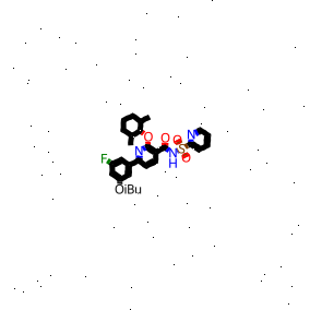 CC(C)COc1cc(F)cc(-c2ccc(C(=O)NS(=O)(=O)c3ccccn3)c(OC3C(C)CCCC3C)n2)c1